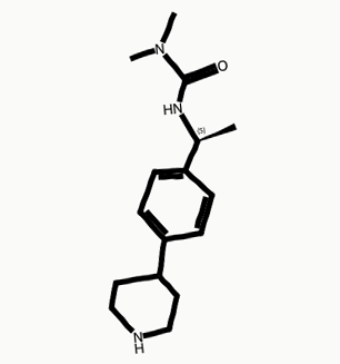 C[C@H](NC(=O)N(C)C)c1ccc(C2CCNCC2)cc1